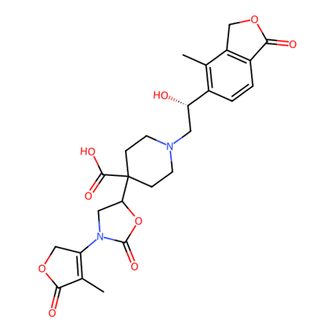 CC1=C(N2CC(C3(C(=O)O)CCN(C[C@H](O)c4ccc5c(c4C)COC5=O)CC3)OC2=O)COC1=O